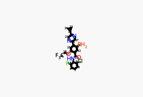 O=C(Nc1c(F)cccc1Cl)c1cc(P)c(-c2cnc(C3CC3)cn2)cc1OCC(F)(F)F